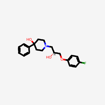 O[C@@H](COc1ccc(F)cc1)CN1CCC(O)(c2ccccc2)CC1